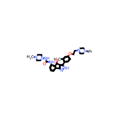 Cc1cc(OCCN2CCN(C(C)C)CC2)ccc1-c1[nH]nc2c1C(=O)c1c(NC(=O)NN3CCN(C)CC3)cccc1-2